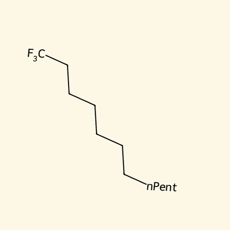 [CH2]CCCCCCCCCCC(F)(F)F